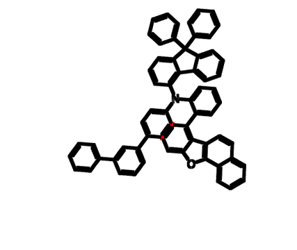 c1ccc(-c2cccc(-c3ccc(N(c4ccccc4-c4cccc5oc6c7ccccc7ccc6c45)c4cccc5c4-c4ccccc4C5(c4ccccc4)c4ccccc4)cc3)c2)cc1